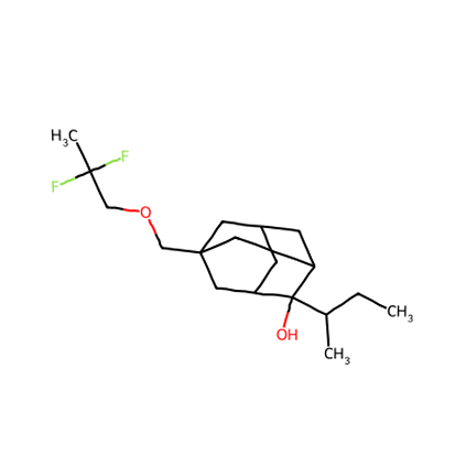 CCC(C)C1(O)C2CC3CC1CC(COCC(C)(F)F)(C3)C2